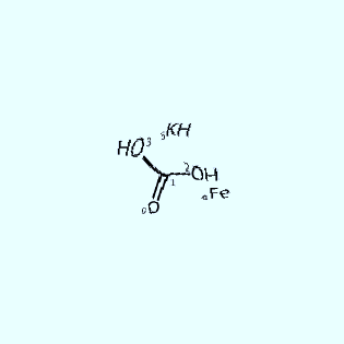 O=C(O)O.[Fe].[KH]